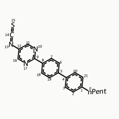 CCCCCc1ccc(-c2ccc(-c3ncc(N=C=S)cn3)cc2)cc1